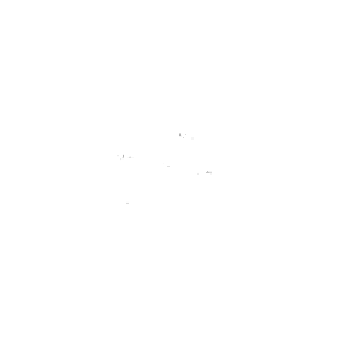 CCCCC[Si](CC(C)(C)C)(OC)OC